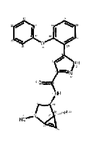 N#CN1C[C@@H](NC(=O)c2cc(-c3ccccc3Oc3ccccc3)[nH]n2)[C@H]2C=C21